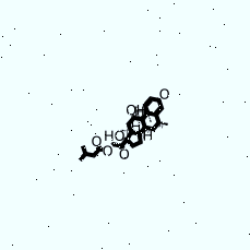 CC(C)CC(=O)OCC(=O)[C@@]1(O)CC[C@H]2[C@@H]3C[C@H](C)C4=CC(=O)C=C[C@]4(C)[C@H]3[C@@H](O)C[C@@]21C